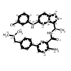 C[C@@H](NC(=O)c1nc(-c2ccc(CN(C)C)cc2)cnc1N)c1nnc2ccc(Nc3cccc(Cl)c3)nn12